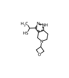 CC(S)c1n[nH]c2c1CN(C1COC1)CC2